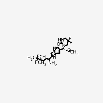 COC[C@H](c1cnn2cc([C@@H](N)CCC(C)(C)C(C)(F)F)nc2c1)N1CC(F)(F)CNC1=O